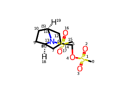 CS(=O)(=O)OCC1C[C@H]2CC[C@@H](C1)N2S(C)(=O)=O